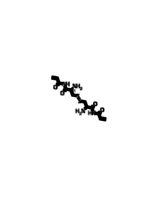 C=CC(=O)NC(=O)C(N)CSSC[C@H](N)C(=O)NC(=O)C=C